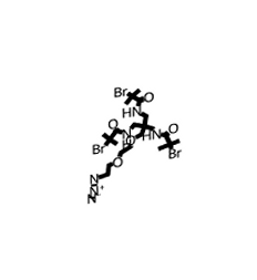 CC(C)(Br)C(=O)NCC(CNC(=O)C(C)(C)Br)(CNC(=O)C(C)(C)Br)COCCOCCN=[N+]=[N-]